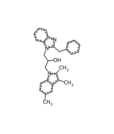 Cc1ccc2c(c1)c(C)c(C)n2CC(O)Cn1c(Cc2ccccc2)nc2ccccc21